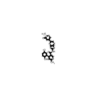 COc1ccc(Cl)cc1-c1cc(C)ncc1C(=O)Nc1nc2ncc(-c3cnn(C)c(=O)c3)nc2s1